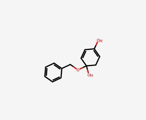 OC1=CCC(O)(OCc2ccccc2)C=C1